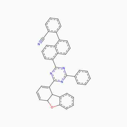 N#Cc1ccccc1-c1cccc2c(-c3nc(C4=CC=CC5Oc6ccccc6C45)nc(-c4ccccc4)n3)cccc12